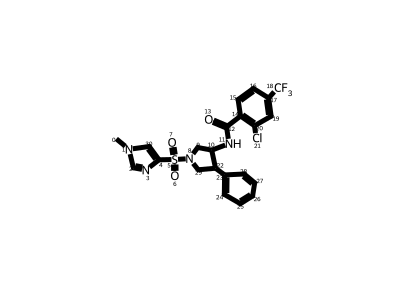 Cn1cnc(S(=O)(=O)N2CC(NC(=O)c3ccc(C(F)(F)F)cc3Cl)C(c3ccccc3)C2)c1